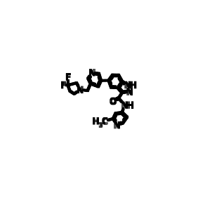 Cc1cc(NC(=O)c2n[nH]c3ccc(-c4cncc(CN5CCC(F)(F)C5)c4)cc23)ccn1